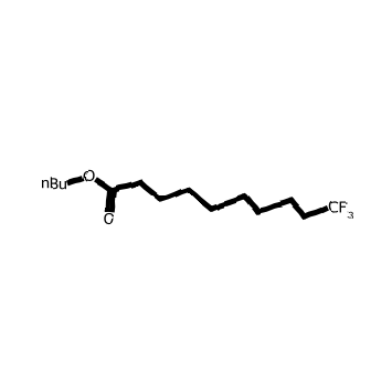 CCCCOC(=O)CCCCCCCCC(F)(F)F